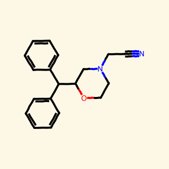 N#CCN1CCOC(C(c2ccccc2)c2ccccc2)C1